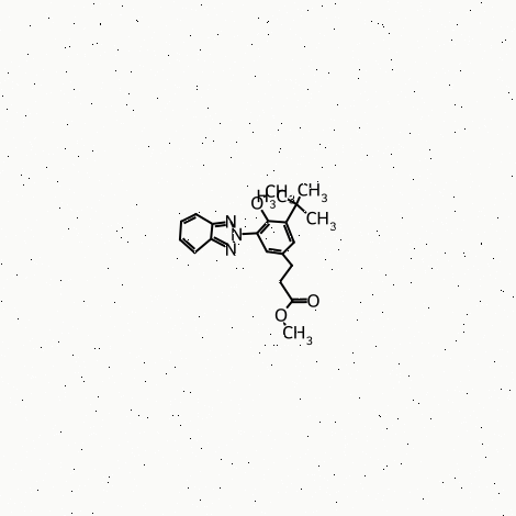 COC(=O)CCc1cc(-n2nc3ccccc3n2)c(OC)c(C(C)(C)C)c1